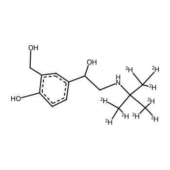 [2H]C([2H])([2H])C(NCC(O)c1ccc(O)c(CO)c1)(C([2H])([2H])[2H])C([2H])([2H])[2H]